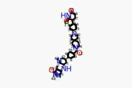 Cc1c(N[C@@H]2C[C@H](c3ccc(C(=O)N4CCC5(CC4)CCN(c4ccc(C6CCC(=O)NC6=O)c(F)c4)CC5)cc3)CN(C)C2)cnn(C)c1=O